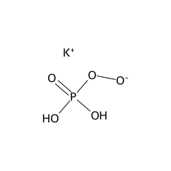 O=P(O)(O)O[O-].[K+]